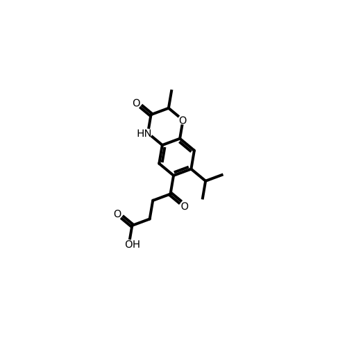 CC1Oc2cc(C(C)C)c(C(=O)CCC(=O)O)cc2NC1=O